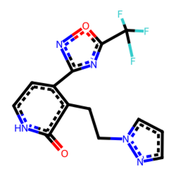 O=c1[nH]ccc(-c2noc(C(F)(F)F)n2)c1CCn1cccn1